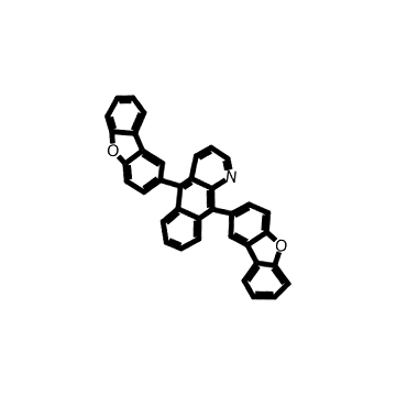 c1ccc2c(c1)oc1ccc(-c3c4ccccc4c(-c4ccc5oc6ccccc6c5c4)c4ncccc34)cc12